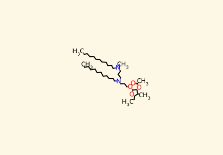 CCCCCCCCCCCCN(C)CCCN(CCCCCCCCCCCC)CCCOC1OC(CC)C(C)C1OC(C)=O